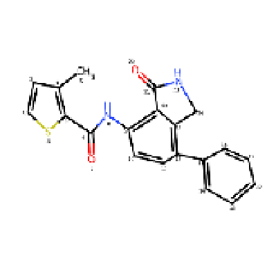 Cc1ccsc1C(=O)Nc1ccc(-c2ccccc2)c2c1C(=O)NC2